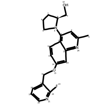 Cc1cc(N2CCC[C@H]2CO)c2ccc(OCc3cccnc3F)cc2n1